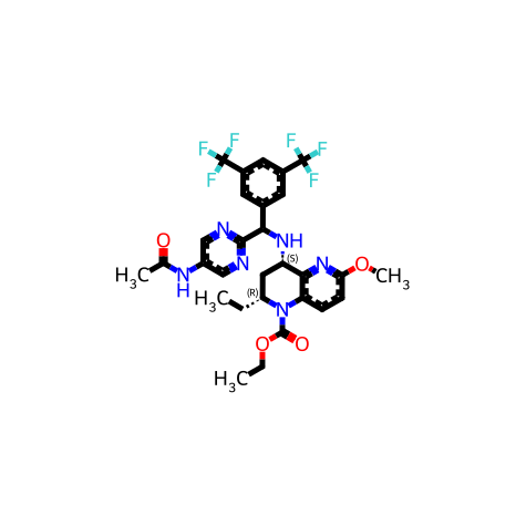 CCOC(=O)N1c2ccc(OC)nc2[C@@H](NC(c2cc(C(F)(F)F)cc(C(F)(F)F)c2)c2ncc(NC(C)=O)cn2)C[C@H]1CC